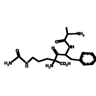 CC(N)C(=O)NC(Cc1ccccc1)C(=O)C(N)(CCCNC(N)=O)C(=O)O